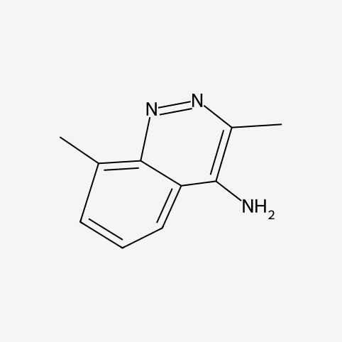 Cc1nnc2c(C)cccc2c1N